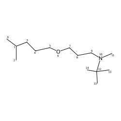 CC(C)CCCOCCCN(C)C(C)(C)C